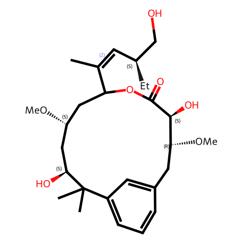 CC[C@@H](/C=C(/C)C1C[C@@H](OC)C[C@H](O)C(C)(C)c2cccc(c2)C[C@@H](OC)[C@H](O)C(=O)O1)CO